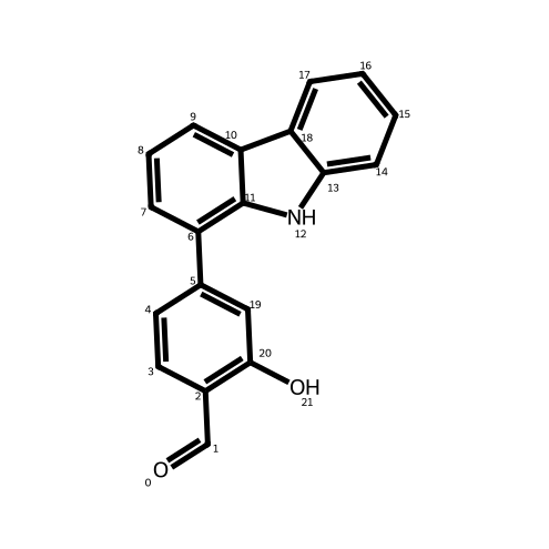 O=Cc1ccc(-c2cccc3c2[nH]c2ccccc23)cc1O